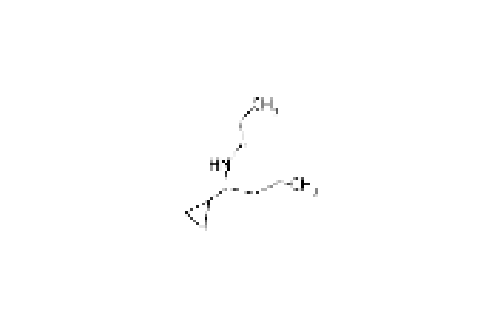 CC[CH]NC(CCC)C1CC1